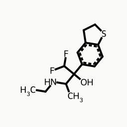 CCNC(C)C(O)(c1ccc2c(c1)CCS2)C(F)F